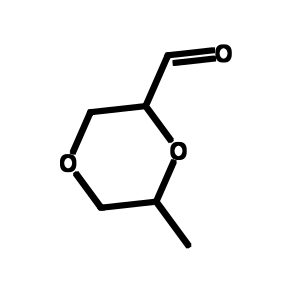 CC1COCC(C=O)O1